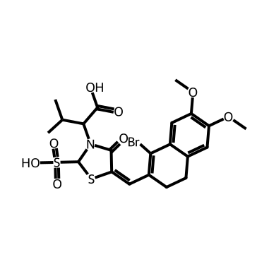 COc1cc2c(cc1OC)C(Br)=C(C=C1SC(S(=O)(=O)O)N(C(C(=O)O)C(C)C)C1=O)CC2